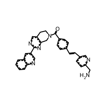 NCc1ccc(/C=C/c2ccc(C(=O)N3CCc4cnc(-c5cnc6ccccc6c5)nc4C3)cc2)cn1